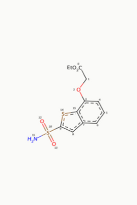 CCOC(=O)COc1cccc2cc(S(N)(=O)=O)sc12